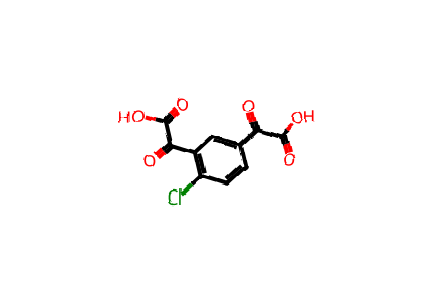 O=C(O)C(=O)c1ccc(Cl)c(C(=O)C(=O)O)c1